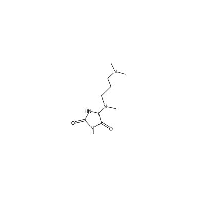 CN(C)CCCN(C)C1NC(=O)NC1=O